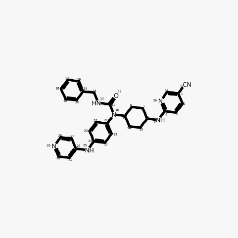 N#Cc1ccc(NC2CCC(N(C(=O)NCc3ccccc3)c3ccc(Nc4ccncc4)cc3)CC2)nc1